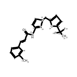 Cc1cccc(C=CC(=O)Nc2ccn(Cc3ccc(C(C)(F)F)o3)n2)c1